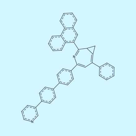 C1=C(c2ccc(-c3ccc(-c4cccnc4)cc3)cc2)N=C(c2cc3ccccc3c3ccccc23)C2CC2=C1c1ccccc1